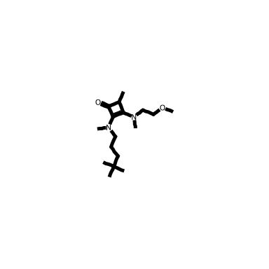 COCCN(C)C1=C(N(C)CCCC(C)(C)C)C(=O)C1C